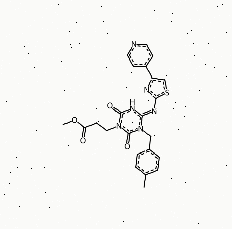 COC(=O)CCn1c(=O)[nH]/c(=N\c2nc(-c3ccncc3)cs2)n(Cc2ccc(C)cc2)c1=O